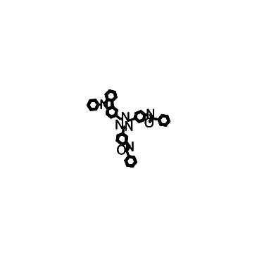 c1ccc(-c2nc3cc(-c4nc(-c5ccc6nc(-c7ccccc7)oc6c5)nc(-c5ccc6c(c5)c5ccccc5n6-c5ccccc5)n4)ccc3o2)cc1